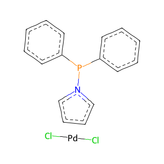 [Cl][Pd][Cl].c1ccc(P(c2ccccc2)n2cccc2)cc1